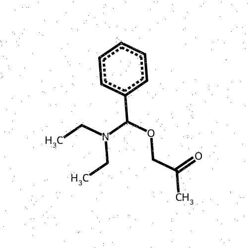 CCN(CC)[C](OCC(C)=O)c1ccccc1